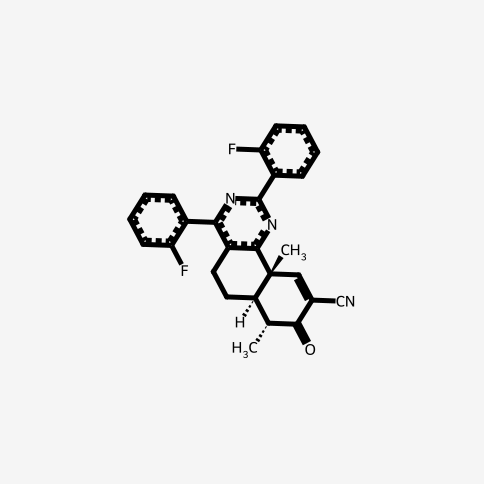 C[C@H]1C(=O)C(C#N)=C[C@@]2(C)c3nc(-c4ccccc4F)nc(-c4ccccc4F)c3CC[C@H]12